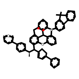 C[C@@H](c1ccc(-c2ccccc2)cc1)C(C1=CC=C(c2ccccc2)CC1)c1ccc2c3c1Oc1cccc(N(c4ccccc4)c4ccc5c(c4)C(C)(C)c4ccccc4-5)c1C3CCC2